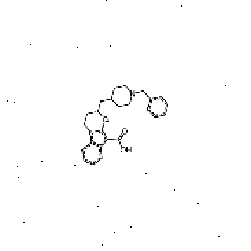 O=C(O)c1c2n(c3ccccc13)CCC(CC1CCN(Cc3ccccc3)CC1)O2